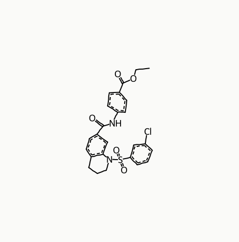 CCOC(=O)c1ccc(NC(=O)c2ccc3c(c2)N(S(=O)(=O)c2cccc(Cl)c2)CCC3)cc1